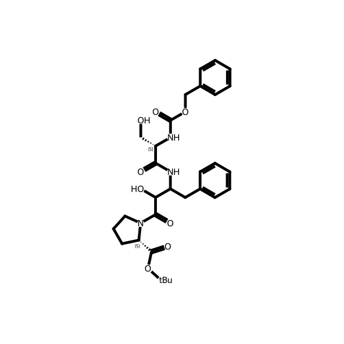 CC(C)(C)OC(=O)[C@@H]1CCCN1C(=O)C(O)C(Cc1ccccc1)NC(=O)[C@H](CO)NC(=O)OCc1ccccc1